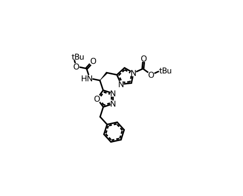 CC(C)(C)OC(=O)N[C@@H](Cc1cn(C(=O)OC(C)(C)C)cn1)c1nnc(Cc2ccccc2)o1